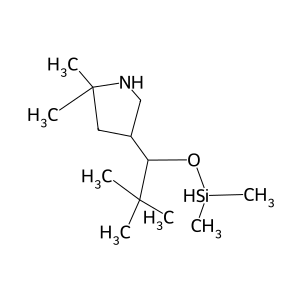 C[SiH](C)OC(C1CNC(C)(C)C1)C(C)(C)C